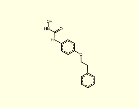 O=C(NO)Nc1ccc(OCCc2ccccc2)cc1